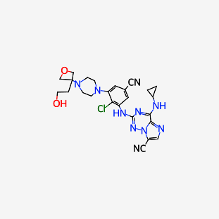 N#Cc1cc(Nc2nc(NC3CC3)c3ncc(C#N)n3n2)c(Cl)c(N2CCN(C3(CCO)COC3)CC2)c1